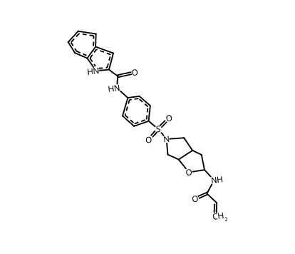 C=CC(=O)NC1CC2CN(S(=O)(=O)c3ccc(NC(=O)c4cc5ccccc5[nH]4)cc3)CC2O1